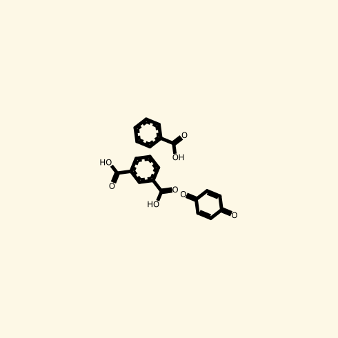 O=C(O)c1cccc(C(=O)O)c1.O=C(O)c1ccccc1.O=C1C=CC(=O)C=C1